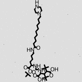 CC(C)(C)OC(=O)C(CCCCNC(=O)CCCCCCCCCCN1CCNCC1)NC(=O)NC(C(=O)O)C(C(C(=O)O)C(C)(C)C)C(C)(C)C